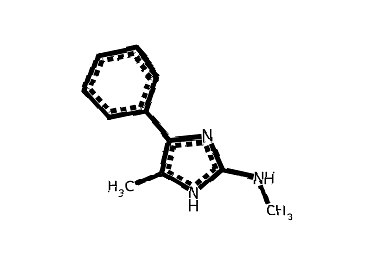 CNc1nc(-c2ccccc2)c(C)[nH]1